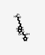 CC(C)NC(=O)CCC/C=C1\C[C@H]2C[C@@H](O)[C@H](/C=C/[C@@H](O)C3CCCC3)[C@H]2C1